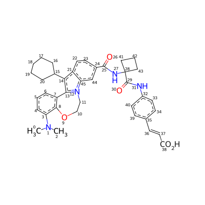 CN(C)c1cccc2c1OCCn1c-2c(C2CCCCC2)c2ccc(C(=O)NC3(C(=O)Nc4ccc(/C=C/C(=O)O)cc4)CCC3)cc21